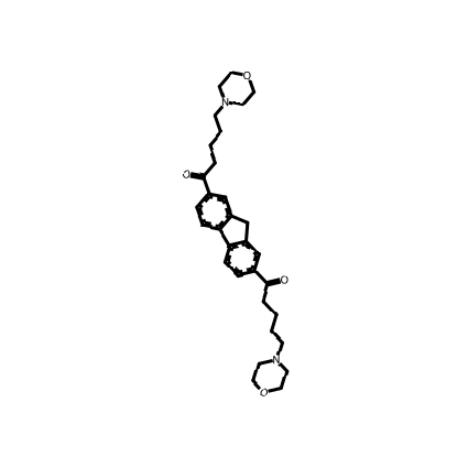 O=C(CCCCN1CCOCC1)c1ccc2c(c1)Cc1cc(C(=O)CCCCN3CCOCC3)ccc1-2